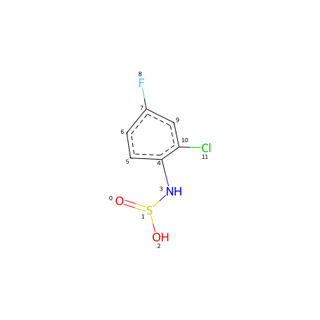 O=S(O)Nc1ccc(F)cc1Cl